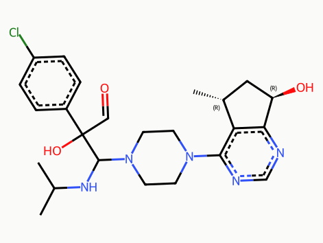 CC(C)NC(N1CCN(c2ncnc3c2[C@H](C)C[C@H]3O)CC1)C(O)(C=O)c1ccc(Cl)cc1